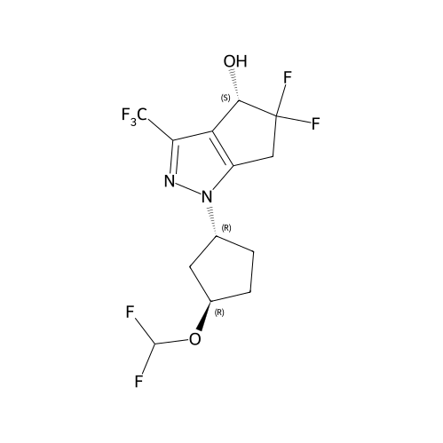 O[C@H]1c2c(C(F)(F)F)nn([C@@H]3CC[C@@H](OC(F)F)C3)c2CC1(F)F